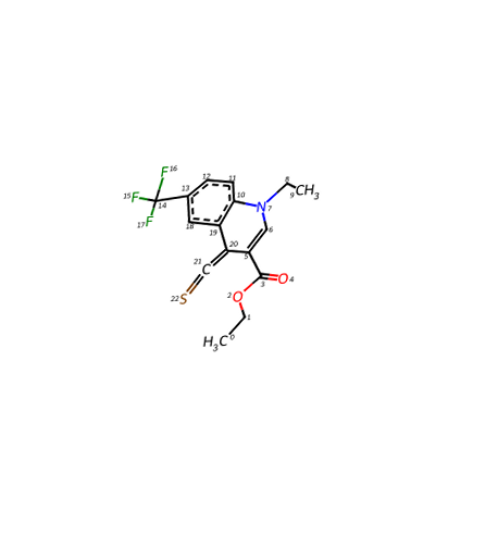 CCOC(=O)C1=CN(CC)c2ccc(C(F)(F)F)cc2C1=C=S